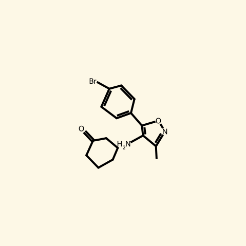 Cc1noc(-c2ccc(Br)cc2)c1N.O=C1CCCCC1